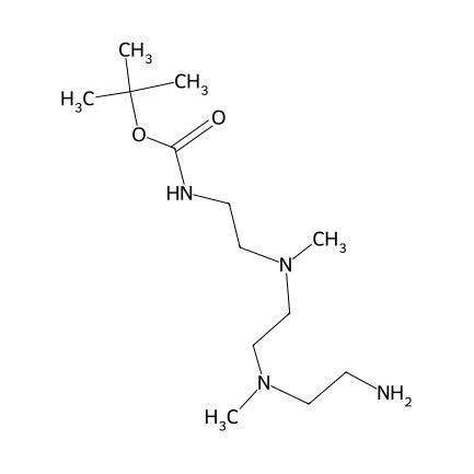 CN(CCN)CCN(C)CCNC(=O)OC(C)(C)C